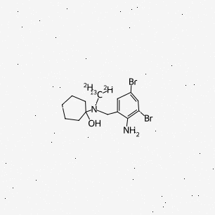 [2H][13CH]([2H])N(Cc1cc(Br)cc(Br)c1N)C1(O)CCCCC1